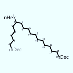 [CH2]CCCCCC(CCCCCCCCCCCCCCC)CCCCCCCCCCCCCCCCCCCCC